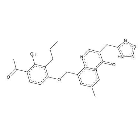 CCCc1c(OCc2cc(C)cn3c(=O)c(Cc4nnn[nH]4)cnc23)ccc(C(C)=O)c1O